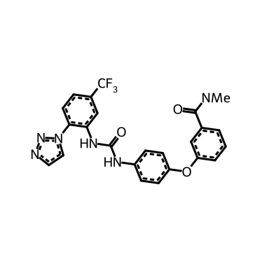 CNC(=O)c1cccc(Oc2ccc(NC(=O)Nc3cc(C(F)(F)F)ccc3-n3ccnn3)cc2)c1